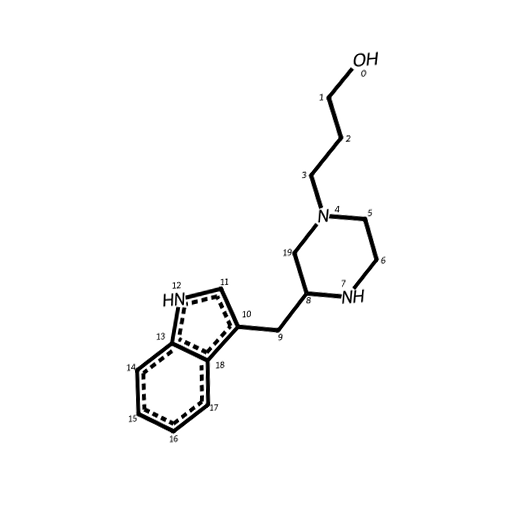 OCCCN1CCNC(Cc2c[nH]c3ccccc23)C1